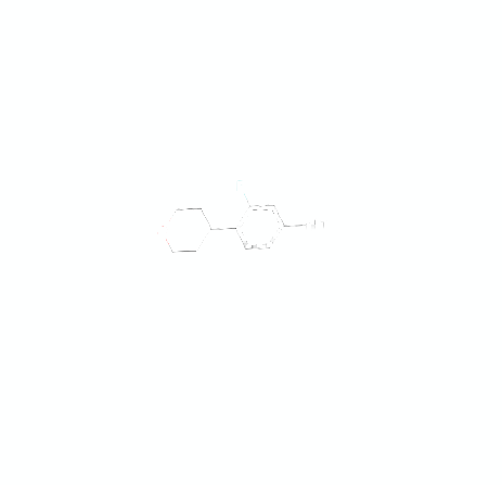 CCCc1ccc(C2CCOCC2)c(F)c1